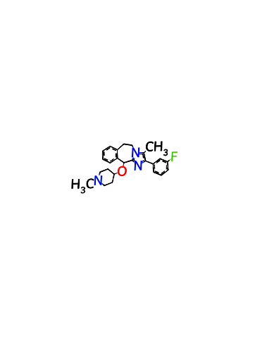 Cc1c(-c2cccc(F)c2)nc2n1CCc1ccccc1C2OC1CCN(C)CC1